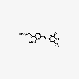 CCOC(=O)COc1ccc(C=Cc2cc(C(F)(F)F)[nH]c(=O)n2)cc1OC